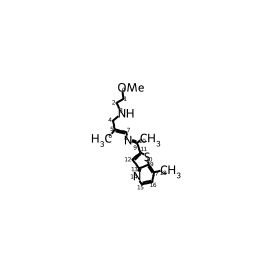 COCCNC/C(C)=C/N=C(\C)c1cc2nccc(C)c2s1